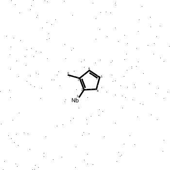 CC1=[C]([Nb])CC=C1